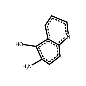 Nc1ccc2ncccc2c1O